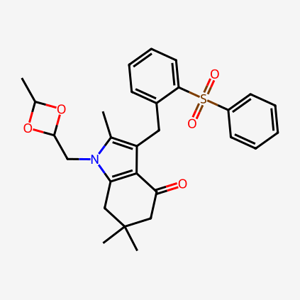 Cc1c(Cc2ccccc2S(=O)(=O)c2ccccc2)c2c(n1CC1OC(C)O1)CC(C)(C)CC2=O